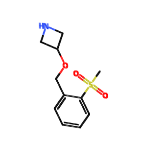 CS(=O)(=O)c1ccccc1COC1CNC1